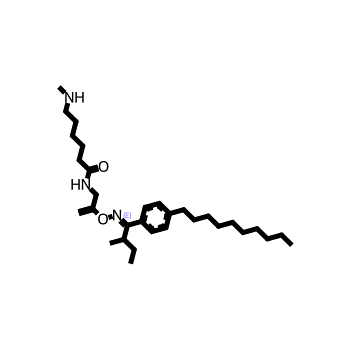 C=C(CNC(=O)CCCCCNC)O/N=C(/c1ccc(CCCCCCCCCC)cc1)C(C)CC